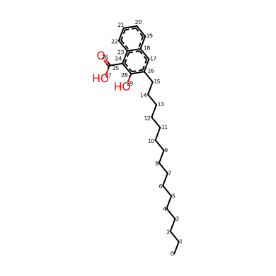 CCCCCCCCCCCCCCCCc1cc2ccccc2c(C(=O)O)c1O